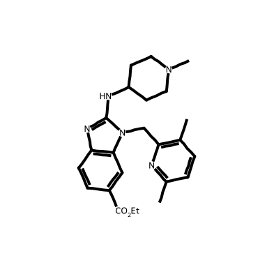 CCOC(=O)c1ccc2nc(NC3CCN(C)CC3)n(Cc3nc(C)ccc3C)c2c1